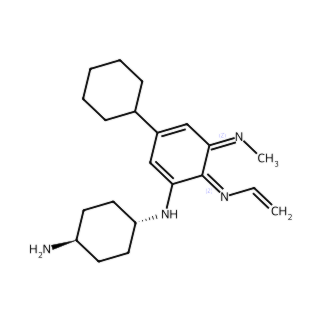 C=C/N=C1/C(N[C@H]2CC[C@H](N)CC2)=CC(C2CCCCC2)=C/C1=N/C